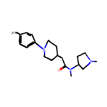 CC(=O)c1ccc(N2CCC(CC(=O)N(C)C3CCN(C)C3)CC2)cc1